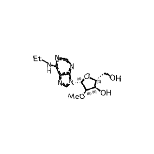 CCNc1ncnc2c1ncn2[C@@H]1O[C@H](CO)[C@@H](O)[C@H]1OC